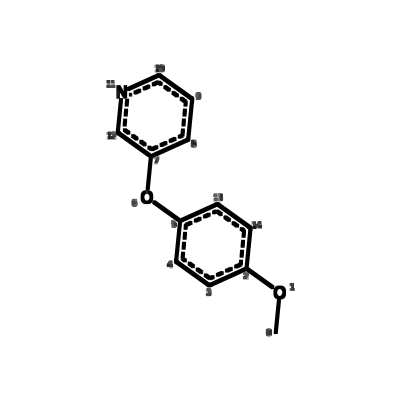 COc1ccc(Oc2cccnc2)cc1